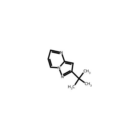 CC(C)(C)c1cc2ncccn2n1